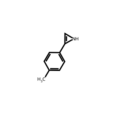 Cc1ccc(C2=CN2)cc1